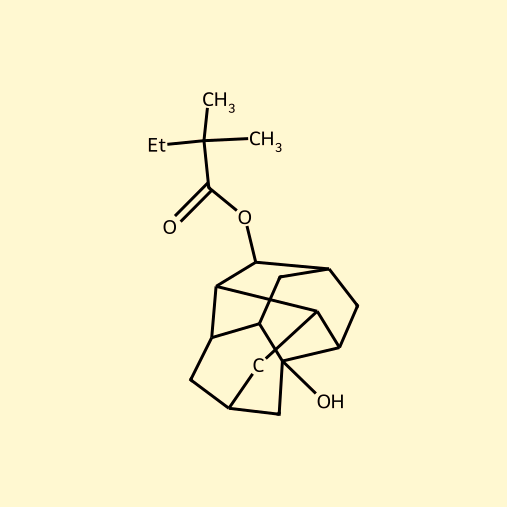 CCC(C)(C)C(=O)OC1C2CC3C4CC5CC(C41)C(C2)C3(O)C5